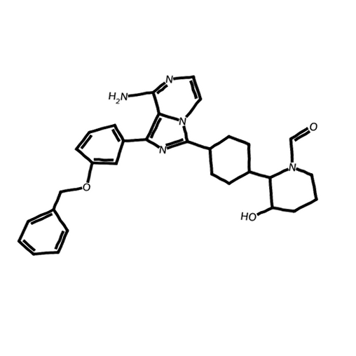 Nc1nccn2c(C3CCC(C4C(O)CCCN4C=O)CC3)nc(-c3cccc(OCc4ccccc4)c3)c12